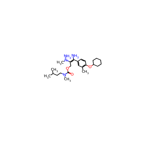 Cc1cc(/C(N)=C(\COC(=O)N(C)CCC(C)C)N(C)N)ccc1OC1CCCCC1